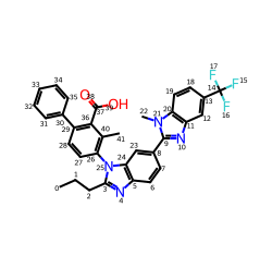 CCCc1nc2ccc(-c3nc4cc(C(F)(F)F)ccc4n3C)cc2n1-c1ccc(-c2ccccc2)c(C(=O)O)c1C